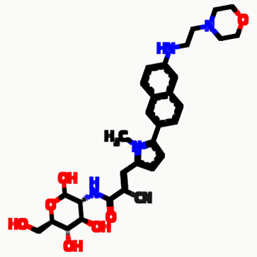 Cn1c(/C=C(\C#N)C(=O)N[C@H]2C(O)O[C@H](CO)[C@@H](O)[C@@H]2O)ccc1-c1ccc2cc(NCCN3CCOCC3)ccc2c1